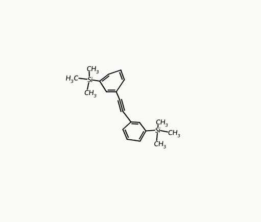 C[Si](C)(C)c1cccc(C#Cc2cccc([Si](C)(C)C)c2)c1